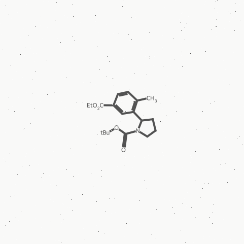 CCOC(=O)c1ccc(C)c(C2CCCN2C(=O)OC(C)(C)C)c1